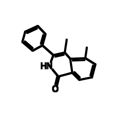 Cc1cccc2c(=O)[nH]c(-c3ccccc3)c(C)c12